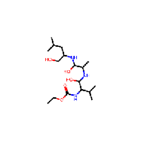 CCOC(=O)NC(C(C)C)C(O)NC(C)C(O)NC(CO)CC(C)C